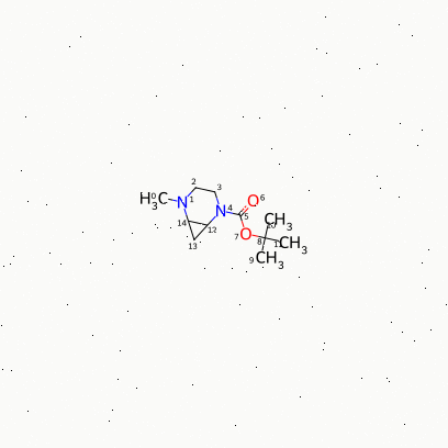 CN1CCN(C(=O)OC(C)(C)C)C2CC21